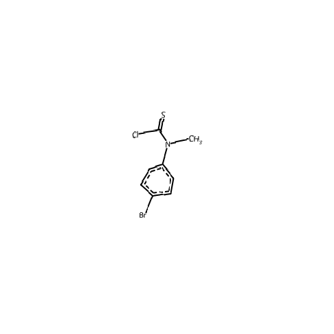 CN(C(=S)Cl)c1ccc(Br)cc1